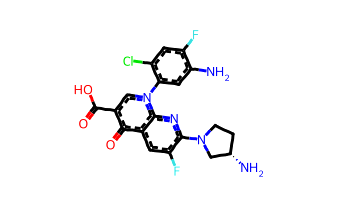 Nc1cc(-n2cc(C(=O)O)c(=O)c3cc(F)c(N4CC[C@H](N)C4)nc32)c(Cl)cc1F